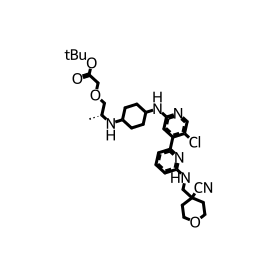 C[C@H](COCC(=O)OC(C)(C)C)NC1CCC(Nc2cc(-c3cccc(NCC4(C#N)CCOCC4)n3)c(Cl)cn2)CC1